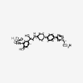 CS(=O)(=O)Nc1cc(C(O)CNC2CCN(c3ccc(-c4nnn(CC(=O)O)n4)cc3)CC2)ccc1O